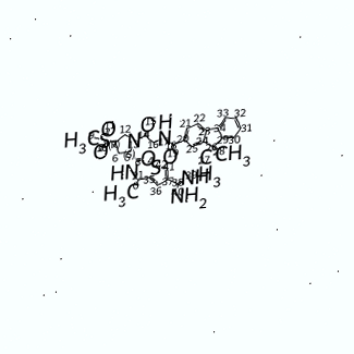 CC(NC(=O)[C@@H]1C[C@@H](S(C)(=O)=O)CN1C(=O)CNC(=O)c1ccc2c(c1)C(C)(C)c1ccccc1-2)c1cc(C(=N)N)cs1